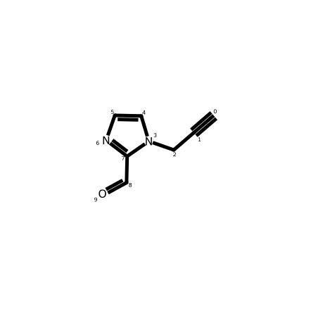 C#CCn1ccnc1C=O